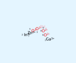 B.[Ga+3].[In+3].[O-2].[O-2].[O-2].[O-2].[Zn+2]